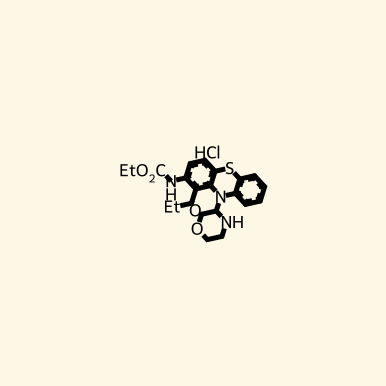 CCOC(=O)Nc1ccc2c(c1C(=O)CC)N(C1COCCN1)c1ccccc1S2.Cl